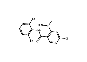 CCc1cccc(CC)c1NC(=O)c1cnc(Cl)nc1N(C)N